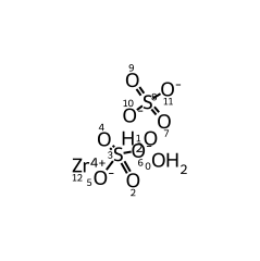 O.O.O=S(=O)([O-])[O-].O=S(=O)([O-])[O-].[Zr+4]